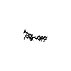 CN(C)Cc1c(OCC2CC2)ccc2c(CCC3CCN(CC4(C#N)CCCC4)CC3)noc12